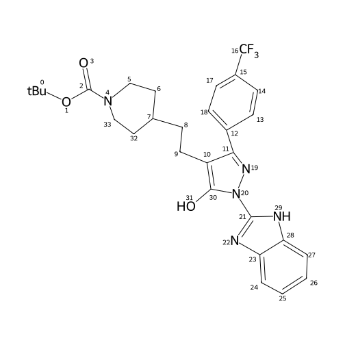 CC(C)(C)OC(=O)N1CCC(CCc2c(-c3ccc(C(F)(F)F)cc3)nn(-c3nc4ccccc4[nH]3)c2O)CC1